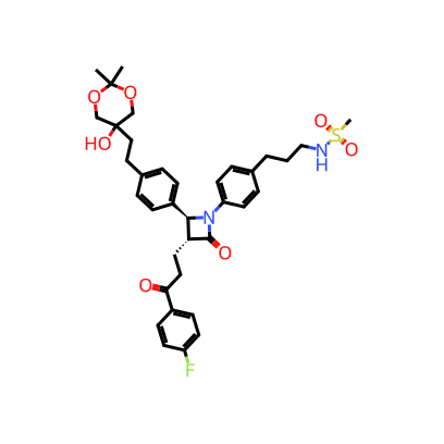 CC1(C)OCC(O)(CCc2ccc([C@@H]3[C@@H](CCC(=O)c4ccc(F)cc4)C(=O)N3c3ccc(CCCNS(C)(=O)=O)cc3)cc2)CO1